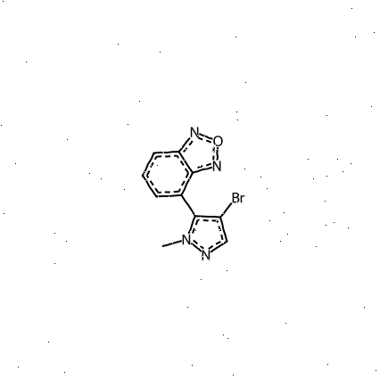 Cn1ncc(Br)c1-c1cccc2nonc12